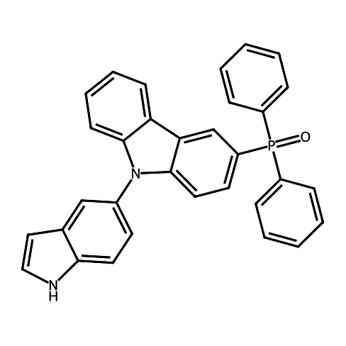 O=P(c1ccccc1)(c1ccccc1)c1ccc2c(c1)c1ccccc1n2-c1ccc2[nH]ccc2c1